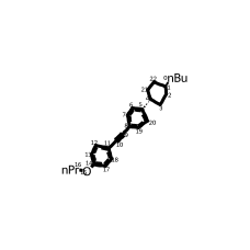 CCCC[C@H]1CC[C@H](c2ccc(C#Cc3ccc(OCCC)cc3)cc2)CC1